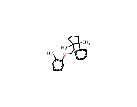 Cc1ccccc1OCC[C@]1(C)CCC[C@]1(C)c1ccccc1